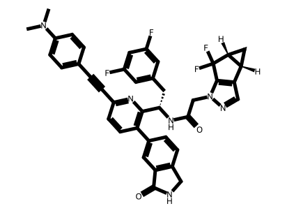 CN(C)c1ccc(C#Cc2ccc(-c3ccc4c(c3)C(=O)NC4)c([C@H](Cc3cc(F)cc(F)c3)NC(=O)Cn3ncc4c3C(F)(F)[C@@H]3C[C@H]43)n2)cc1